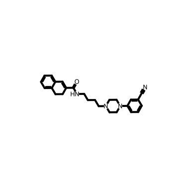 N#Cc1cccc(N2CCN(CCCCNC(=O)C3=Cc4ccccc4CC3)CC2)c1